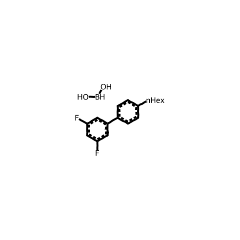 CCCCCCc1ccc(-c2cc(F)cc(F)c2)cc1.OBO